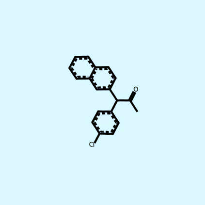 CC(=O)C(c1ccc(Cl)cc1)c1ccc2ccccc2c1